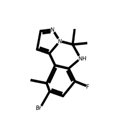 Cc1c(Br)cc(F)c2c1-c1ccnn1C(C)(C)N2